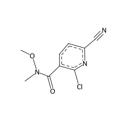 CON(C)C(=O)c1ccc(C#N)nc1Cl